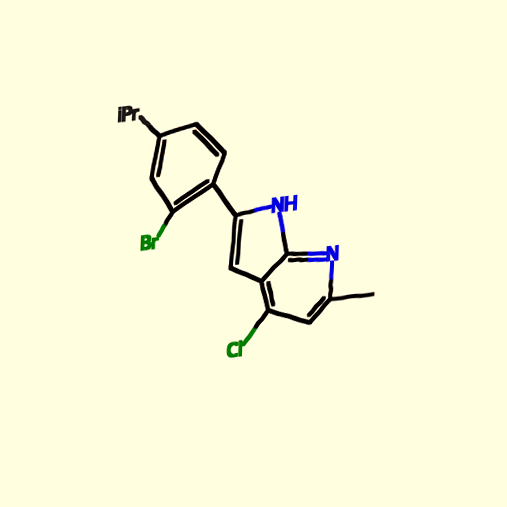 Cc1cc(Cl)c2cc(-c3ccc(C(C)C)cc3Br)[nH]c2n1